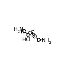 CCc1c(C(=O)N2CCC(c3cccc(CN)c3)CC2)cccc1-c1ccc(N)nc1.Cl